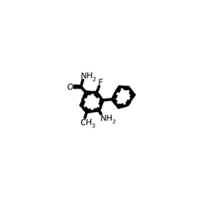 Cc1cc(C(N)=O)c(F)c(-c2ccccc2)c1N